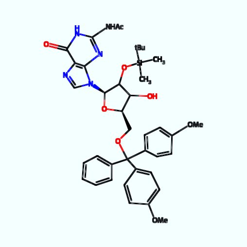 COc1ccc(C(OC[C@H]2O[C@@H](n3cnc4c(=O)[nH]c(NC(C)=O)nc43)C(O[Si](C)(C)C(C)(C)C)C2O)(c2ccccc2)c2ccc(OC)cc2)cc1